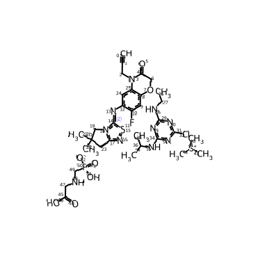 C#CCN1C(=O)COc2cc(F)c(/N=c3\snc4n3CC(C)(C)C4)cc21.CCNc1nc(Cl)nc(NC(C)C)n1.C[S+](C)C.O=C(O)CNCP(=O)([O-])O